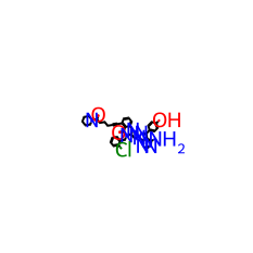 Nc1ncnc2c1c(-c1ccc(O)cc1)nn2Cc1nc2cccc(C#CCCCC(=O)N3CCCCC3)c2c(=O)n1Cc1ccccc1Cl